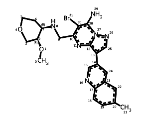 CO[C@H]1COCC[C@H]1NCc1nc2c(-c3cnc4ccc(C)cc4c3)cnn2c(N)c1Br